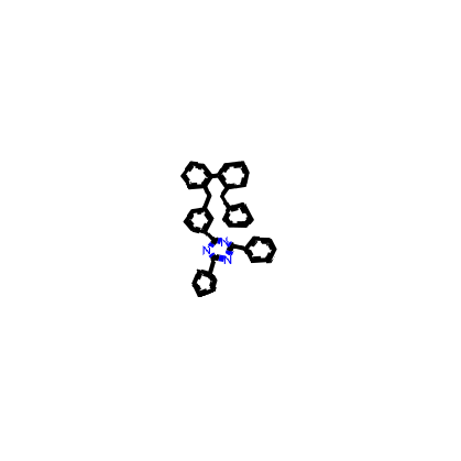 c1ccc(Cc2ccccc2-c2ccccc2Cc2cccc(-c3nc(-c4ccccc4)nc(-c4ccccc4)n3)c2)cc1